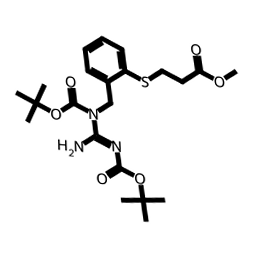 COC(=O)CCSc1ccccc1CN(C(=O)OC(C)(C)C)C(N)=NC(=O)OC(C)(C)C